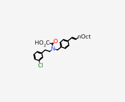 CCCCCCCCC=Cc1ccc(CN(CCc2cccc(Cl)c2)C(=O)C(=O)O)cc1